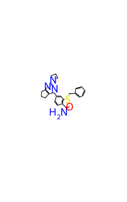 NC(=O)c1ccc(-c2nc(N3CCC3)nc3c2CCC3)cc1SCc1ccccc1